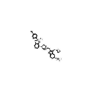 C[C@@]1(c2ccc(Cl)cn2)Oc2cccc(C3CC4CC3CN4Cc3nc4ccc(C(=O)O)cc4n3C[C@@H]3CCO3)c2O1